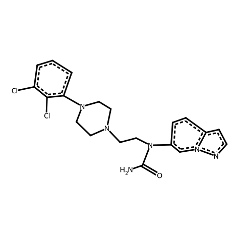 NC(=O)N(CCN1CCN(c2cccc(Cl)c2Cl)CC1)c1ccc2ccnn2c1